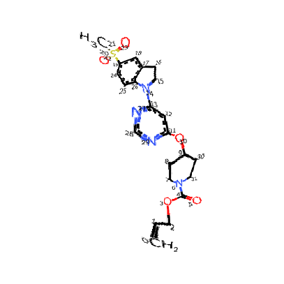 C=CCOC(=O)N1CCC(Oc2cc(N3CCc4cc(S(C)(=O)=O)ccc43)ncn2)CC1